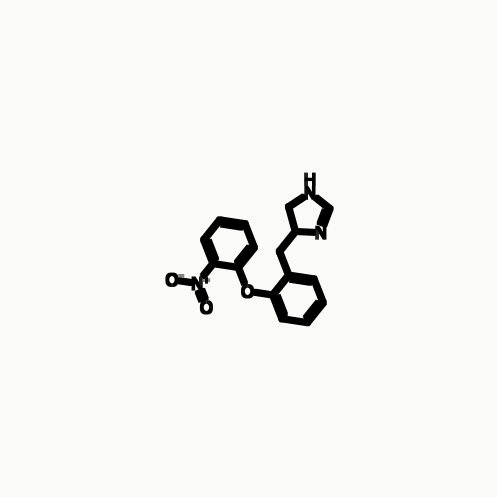 O=[N+]([O-])c1ccccc1Oc1ccccc1CC1CNC=N1